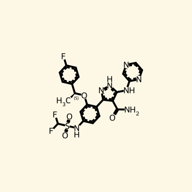 C[C@H](Oc1cc(NS(=O)(=O)C(F)F)ccc1-c1n[nH]c(Nc2cnccn2)c1C(N)=O)c1ccc(F)cc1